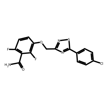 NC(=O)c1c(F)ccc(OCc2nsc(-c3ccc(Cl)cc3)n2)c1F